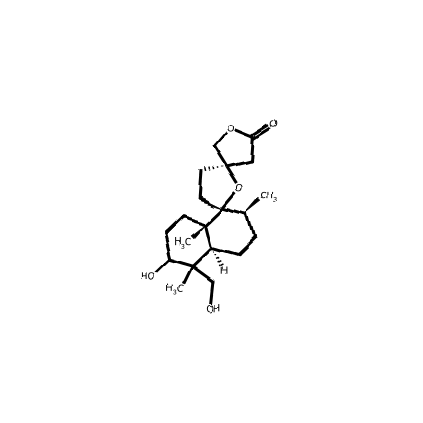 C[C@H]1CC[C@H]2C(C)(CO)C(O)CC[C@]2(C)[C@@]12CC[C@@]1(COC(=O)C1)O2